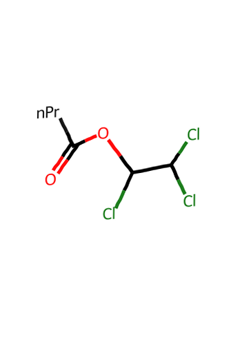 CCCC(=O)OC(Cl)C(Cl)Cl